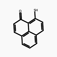 O=C1C=Cc2cccc3ccc(S)c1c23